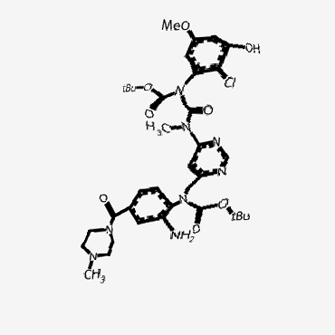 COc1cc(O)c(Cl)c(N(C(=O)OC(C)(C)C)C(=O)N(C)c2cc(N(C(=O)OC(C)(C)C)c3ccc(C(=O)N4CCN(C)CC4)cc3N)ncn2)c1